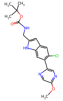 COc1cnc(-c2cc3[nH]c(CNC(=O)OC(C)(C)C)cc3cc2Cl)cn1